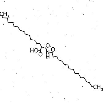 CCCCCCCCCCCCCCCCC(=O)NC(=O)C(CCCCCCCCCCCCCCC)C(=O)O